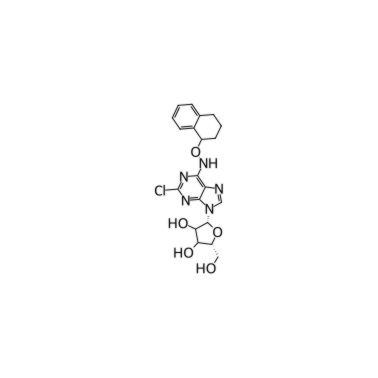 OC[C@H]1O[C@@H](n2cnc3c(NOC4CCCc5ccccc54)nc(Cl)nc32)C(O)C1O